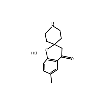 Cc1ccc2c(c1)C(=O)CC1(CCNCC1)O2.Cl